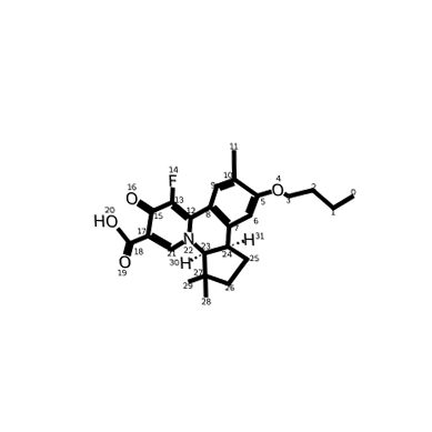 CCCCOc1cc2c(cc1C)-c1c(F)c(=O)c(C(=O)O)cn1[C@H]1[C@@H]2CCC1(C)C